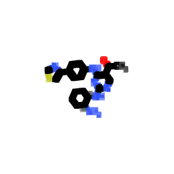 CC(=O)c1cnc(N[C@@H]2CCCC[C@@H]2N)nc1Nc1ccc(-c2cscn2)cc1